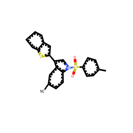 Cc1ccc(S(=O)(=O)n2cc(-c3cc4ccccc4s3)c3cc(C#N)ccc32)cc1